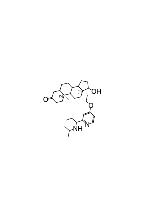 CCC(NC(C)C)c1cc(OCC[C@]23CCC4C(CCC5CC(=O)CC[C@@]54C)C2CCC3O)ccn1